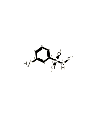 Cc1cccc(S(=O)(=O)NF)c1